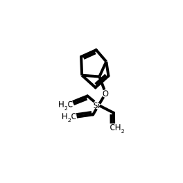 C=C[Si](C=C)(C=C)OC1C2C=CC1C=C2